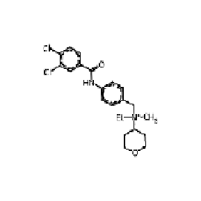 CC[N+](C)(Cc1ccc(NC(=O)c2ccc(Cl)c(Cl)c2)cc1)C1CCOCC1